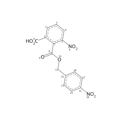 O=C(O)c1cccc([N+](=O)[O-])c1C(=O)OCc1ccc([N+](=O)[O-])cc1